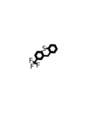 FC(F)(F)c1ccc2c(c1)Cc1ccccc1S2